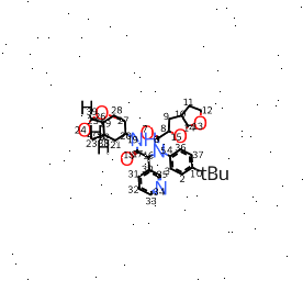 CC(C)(C)c1ccc(N(C(=O)C2CC3CCOC3O2)C(C(=O)NC2C[C@@H]3CO[C@@H]4OC2C[C@H]34)c2cccnc2)cc1